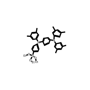 CCO[Si](OCC)(OCC)c1ccc(N(c2ccc(N(c3cc(C)cc(C)c3)c3cc(C)cc(C)c3)cc2)c2cc(C)cc(C)c2)cc1